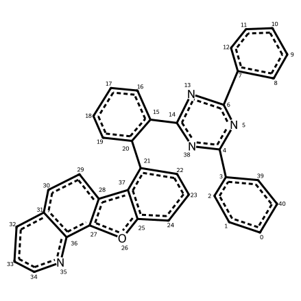 c1ccc(-c2nc(-c3ccccc3)nc(-c3ccccc3-c3cccc4oc5c(ccc6cccnc65)c34)n2)cc1